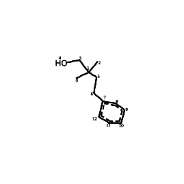 CC(C)(CO)CCc1ccccc1